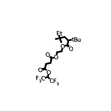 CCC(C)(C)CC(C(=O)OCCOC(=O)CCC(=O)OC(C(F)(F)F)C(F)(F)F)C(C)(C)C